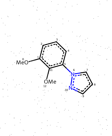 COc1cccc(-n2c[c]cn2)c1OC